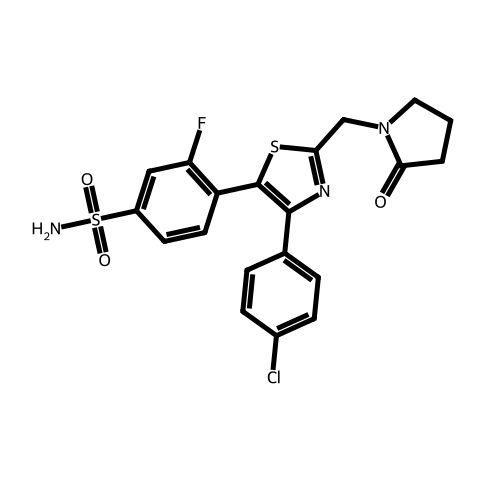 NS(=O)(=O)c1ccc(-c2sc(CN3CCCC3=O)nc2-c2ccc(Cl)cc2)c(F)c1